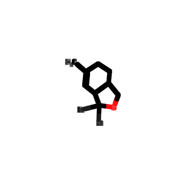 CCC1(CC)OCC2CCC(C)=CC21